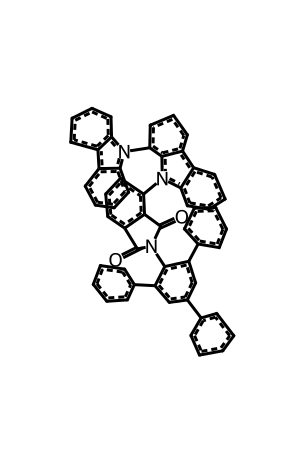 O=C1c2cccc(-n3c4ccccc4c4cccc(-n5c6ccccc6c6ccccc65)c43)c2C(=O)N1c1c(-c2ccccc2)cc(-c2ccccc2)cc1-c1ccccc1